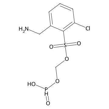 NCc1cccc(Cl)c1S(=O)(=O)OCO[PH](=O)O